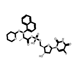 C[C@@H](C(=O)OP(=O)(O)OC[C@H]1O[C@@H](n2cc(F)c(=O)[nH]c2=O)C[C@@H]1O)N(OC1CCCCO1)c1cccc2ccccc12